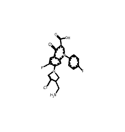 NCC1CN(c2cc3c(cc2F)c(=O)c(C(=O)O)cn3-c2ccc(F)cc2)CC1Cl